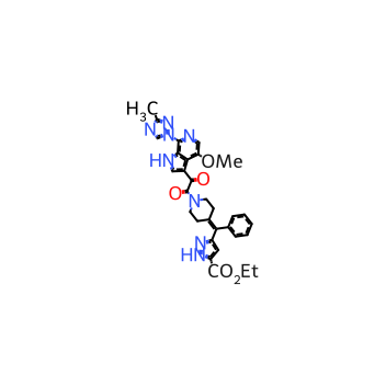 CCOC(=O)c1cc(C(=C2CCN(C(=O)C(=O)c3c[nH]c4c(-n5cnc(C)n5)ncc(OC)c34)CC2)c2ccccc2)n[nH]1